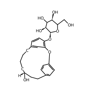 OCC1O[C@@H](Oc2ccc3cc2Oc2ccc(cc2)CC[C@H](O)CCCC3)[C@@H](O)C(O)[C@H]1O